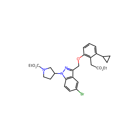 CCOC(=O)Cc1c(OCc2nn(C3CCN(C(=O)OCC)C3)c3ccc(Br)cc23)cccc1C1CC1